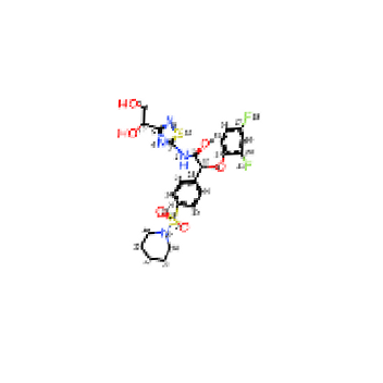 O=C(Nc1nc(C(O)CO)ns1)C(Oc1ccc(F)cc1F)c1ccc(S(=O)(=O)N2CCCCC2)cc1